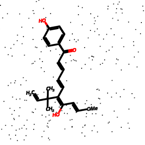 C=CC(C)(C)C(/C=C/C=C/C(=O)c1ccc(O)cc1)=C(O)/C=C/OC